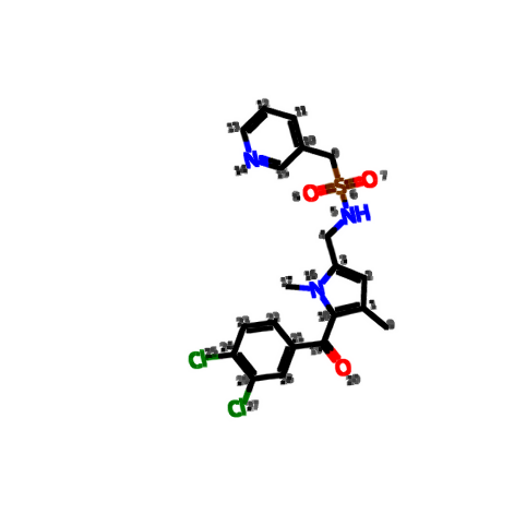 Cc1cc(CNS(=O)(=O)Cc2cccnc2)n(C)c1C(=O)c1ccc(Cl)c(Cl)c1